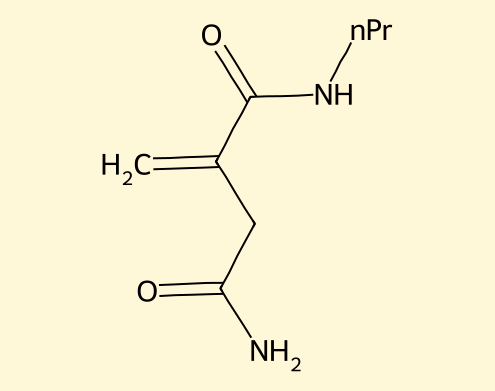 C=C(CC(N)=O)C(=O)NCCC